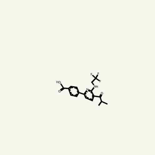 CC(C)C(=O)c1ccc(-c2ccc(C(=O)O)cc2)nc1NCC(F)(F)F